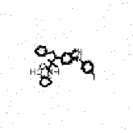 CC(C)(C(=O)N[C@H]1CCC[C@@H]1O)C(Cc1ccccc1)c1ccc2c(cnn2-c2ccc(F)cc2)c1